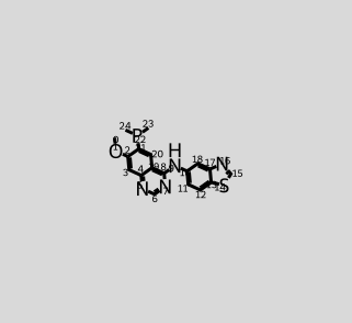 COc1cc2ncnc(Nc3ccc4scnc4c3)c2cc1P(C)C